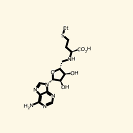 CCSCC[C@H](NC[C@H]1O[C@@H](n2cnc3c(N)ncnc32)[C@H](O)[C@@H]1O)C(=O)O